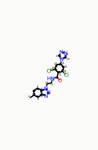 Cc1ccc2c(c1)nnn2CCNC(=O)c1c(Cl)cc(-n2cnnc2)cc1Cl